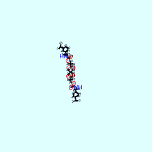 C=C(C)c1ccc(C(C)(C)NC(=O)OCC(C)(C)C2OCC3(CO2)COC(C(C)(C)COC(=O)NC(C)(C)c2cccc(C(=C)C)c2)OC3)cc1